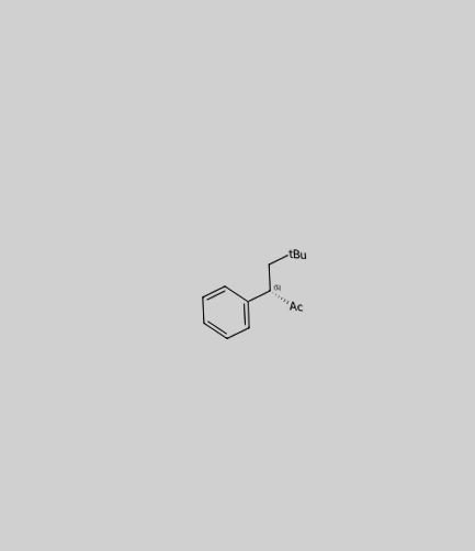 CC(=O)[C@@H](CC(C)(C)C)c1ccccc1